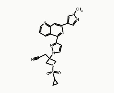 Cn1cc(-c2cc3ncccc3c(-c3ccn(C4(CC#N)CN(S(=O)(=O)C5CC5)C4)n3)n2)cn1